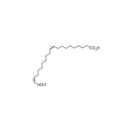 CCCCCCCC/C=C\CCCCCCC/C=C\CCCCCCCCC(=O)O